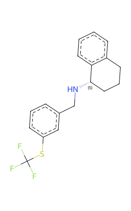 FC(F)(F)Sc1cccc(CN[C@H]2CCCc3ccccc32)c1